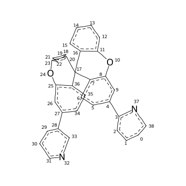 c1ccc(-c2ccc3c(c2)Oc2ccccc2C32c3ccccc3Oc3cc(-c4cccnc4)ccc32)nc1